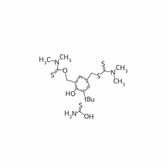 CN(C)C(=S)OCc1cc(CSC(=S)N(C)C)cc(C(C)(C)C)c1O.NC(O)=S